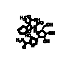 CCC1(c2ccccc2)C(=O)NC(=O)NC1=O.NC(=O)c1ncn([C@@H]2O[C@H](CO)[C@@H](O)[C@H]2O)c1O